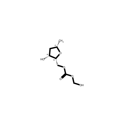 C[C@H]1C[C@@H](O)[C@@H](COC(=O)OCO)O1